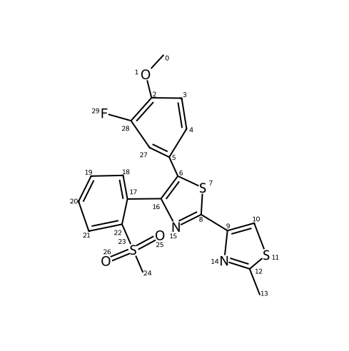 COc1ccc(-c2sc(-c3csc(C)n3)nc2-c2ccccc2S(C)(=O)=O)cc1F